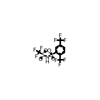 O=S(=O)(NS(=O)(=O)C(F)(F)F)c1cc(C(F)(F)F)ccc1C(F)(F)F